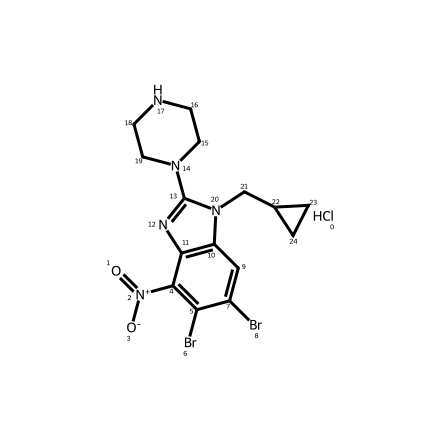 Cl.O=[N+]([O-])c1c(Br)c(Br)cc2c1nc(N1CCNCC1)n2CC1CC1